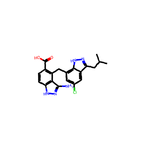 CC(C)Cc1n[nH]c2c(Cc3c(C(=O)O)ccc4[nH]nc(N)c34)cc(Cl)cc12